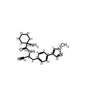 Cn1cc(-c2ccc(CC(C#N)NC(=O)C3(N)CCCCC3)cc2)cn1